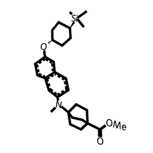 COC(=O)C12CCC(N(C)c3ccc4cc(O[C@H]5CC[C@H]([Si](C)(C)C)CC5)ccc4c3)(CC1)CC2